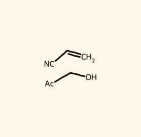 C=CC#N.CC(=O)CO